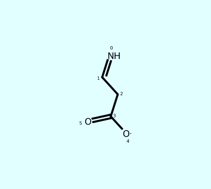 N=CCC([O])=O